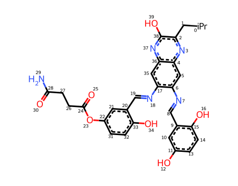 CC(C)Cc1nc2cc(/N=C/c3cc(O)ccc3O)c(/N=C/c3cc(OC(=O)CCC(N)=O)ccc3O)cc2nc1O